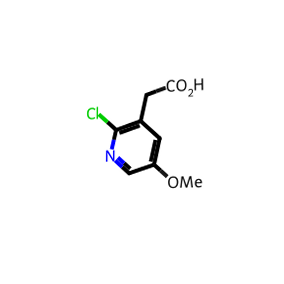 COc1cnc(Cl)c(CC(=O)O)c1